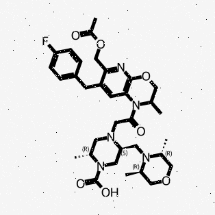 CC(=O)OCc1nc2c(cc1Cc1ccc(F)cc1)N(C(=O)CN1C[C@@H](C)N(C(=O)O)C[C@@H]1CN1[C@H](C)COC[C@H]1C)C(C)CO2